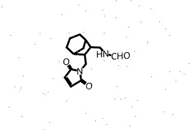 O=CNCC1C2CCCC(C2)C1CN1C(=O)C=CC1=O